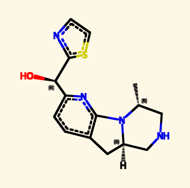 C[C@@H]1CNC[C@H]2Cc3ccc([C@@H](O)c4nccs4)nc3N21